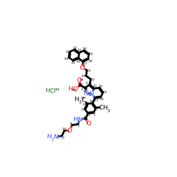 Cc1cc(C(=O)NCCOCCN)cc(C)c1-c1cccc2c(CCCOc3cccc4ccccc34)c(C(=O)O)nn12.Cl